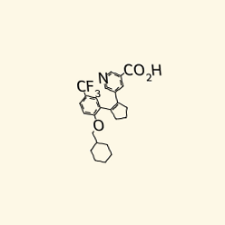 O=C(O)c1cncc(C2=C(c3cc(C(F)(F)F)ccc3OCC3CCCCC3)CCC2)c1